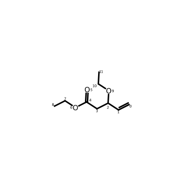 C=CC(CC(=O)OCC)OCC